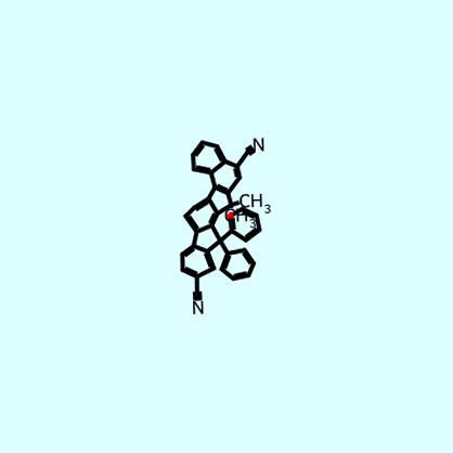 CC1(C)c2cc(C#N)c3ccccc3c2-c2ccc3c(c21)C(c1ccccc1)(c1ccccc1)c1cc(C#N)ccc1-3